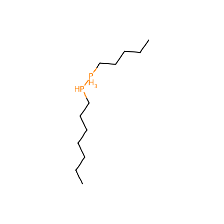 CCCCCCCP[PH3]CCCCC